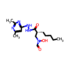 CCCCC[C@H](CN(O)C=O)C(=O)NNc1cc(C)nc(C)n1